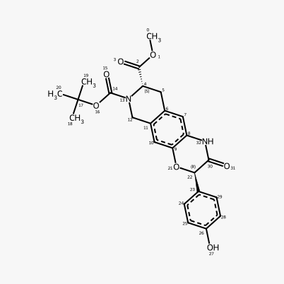 COC(=O)[C@@H]1Cc2cc3c(cc2CN1C(=O)OC(C)(C)C)O[C@H](c1ccc(O)cc1)C(=O)N3